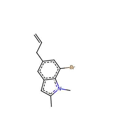 C=CCc1cc(Br)c2c(c1)cc(C)n2C